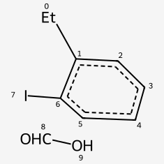 CCc1ccccc1I.O=CO